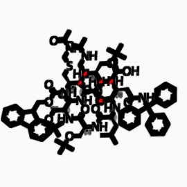 CC(=O)NCSC[C@H](NC(=O)OCC1c2ccccc2-c2ccccc21)C(=O)N[C@@H](COC(C)(C)C)C(=O)N[C@@H](CC(=O)NC(c1ccccc1)(c1ccccc1)c1ccccc1)C(=O)N[C@@H](CC(C)C)C(=O)N[C@@H](COC(C)(C)C)C(=O)N[C@H](C(=O)N[C@@H](CSCNC(C)=O)C(=O)NCC(=O)O)[C@@H](C)OC(C)(C)C